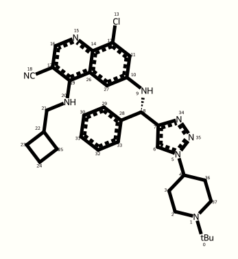 CC(C)(C)N1CCC(n2cc([C@@H](Nc3cc(Cl)c4ncc(C#N)c(NCC5CCC5)c4c3)c3ccccc3)nn2)CC1